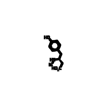 CCN[C@H](CC(=O)O)Cc1ccc(O)cc1